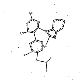 Cc1nc2ccccc2n1-c1nc(N)nc(N)c1-c1ccc(OC(F)F)c(F)c1